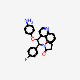 Nc1ccc(OC(c2ccnc3ccccc23)C(c2ccc(F)cc2)N2CCCC2=O)cc1